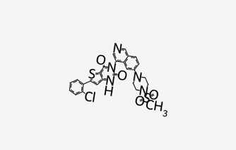 CS(=O)(=O)N1CCN(c2ccc3cncc(-n4c(=O)[nH]c5cc(-c6ccccc6Cl)sc5c4=O)c3c2)CC1